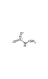 O=[SH](=O)N[SiH3]